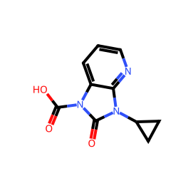 O=C(O)n1c(=O)n(C2CC2)c2ncccc21